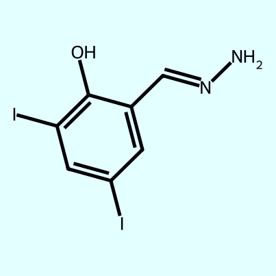 NN=Cc1cc(I)cc(I)c1O